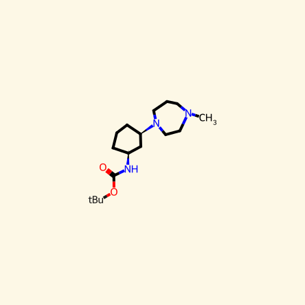 CN1CCCN([C@@H]2CCC[C@H](NC(=O)OC(C)(C)C)C2)CC1